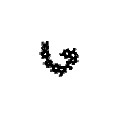 Cc1ccc(C(C)C)c(N2C(=O)CS/C2=N\C(=O)NCC(C)c2ccc(-c3ncn(-c4ccc(OC(F)(F)F)cc4)n3)cc2)c1